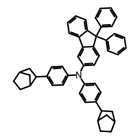 c1ccc(C2(c3ccccc3)c3ccccc3-c3cc(N(c4ccc(C5CC6CCC5C6)cc4)c4ccc(C5CC6CCC5C6)cc4)ccc32)cc1